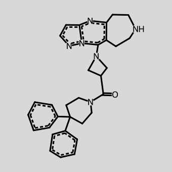 O=C(C1CN(c2c3c(nc4ccnn24)CCNCC3)C1)N1CCC(c2ccccc2)(c2ccccc2)CC1